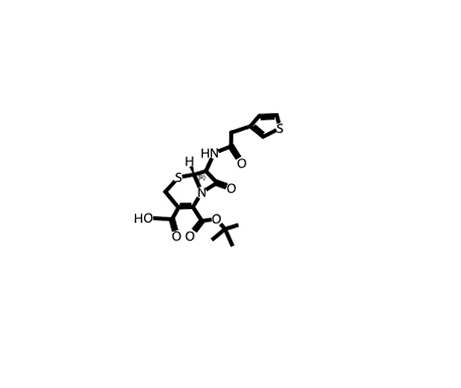 CC(C)(C)OC(=O)C1=C(C(=O)O)CS[C@@H]2C(NC(=O)Cc3ccsc3)C(=O)N12